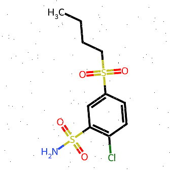 CCCCS(=O)(=O)c1ccc(Cl)c(S(N)(=O)=O)c1